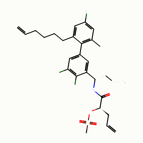 C=CCCCCc1cc(F)cc(C)c1-c1cc(F)c(F)c([C@H](CC(=O)OCC)NC(=O)[C@@H](CC=C)OS(C)(=O)=O)c1